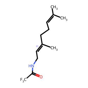 CC(C)=CCC/C(C)=C/CNC(=O)C(F)(F)F